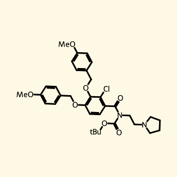 COc1ccc(COc2ccc(C(=O)N(CCN3CCCC3)C(=O)OC(C)(C)C)c(Cl)c2OCc2ccc(OC)cc2)cc1